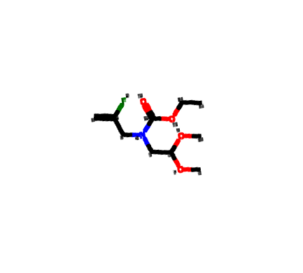 C=C(F)CN(CC(OC)OC)C(=O)OCC